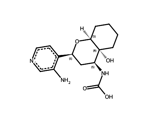 Nc1cnccc1[C@@H]1C[C@H](NC(=O)O)[C@]2(O)CCCC[C@@H]2O1